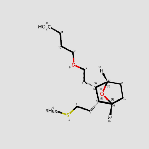 CCCCCCSCC[C@@H]1[C@H](CCOCCCC(=O)O)[C@@H]2CC[C@H]1O2